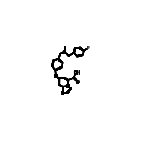 CN(Cc1ccc(F)cc1)Cc1ccc(Oc2cc(C(=O)O)n3ccnc3c2)cc1